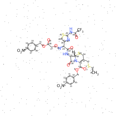 C=CSCC1=C(C(=O)OCc2ccc([N+](=O)[O-])cc2)N2C(=O)C(NC(=O)C(=NOCC(=O)OCc3ccc([N+](=O)[O-])cc3)c3csc(NC(=O)C(F)(F)F)n3)[C@@H]2SC1